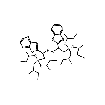 CCC(C)O[Si](CC(SSC(C[Si](OC(C)CC)(OC(C)CC)OC(C)CC)c1nc2ccccc2s1)c1nc2ccccc2s1)(OC(C)CC)OC(C)CC